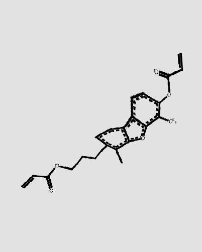 C=CC(=O)OCCCc1ccc2c(oc3c(C(F)(F)F)c(OC(=O)C=C)ccc32)c1C